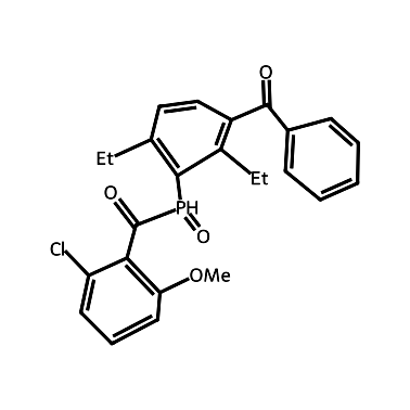 CCc1ccc(C(=O)c2ccccc2)c(CC)c1[PH](=O)C(=O)c1c(Cl)cccc1OC